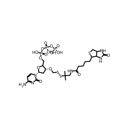 CC(C)(CNC(=O)CCCCC1SCC2NC(=O)NC21)SSCO[C@@H]1C[C@H](n2ccc(N)nc2=O)OC1COP(=O)(O)OP(=O)(O)OP(=O)(O)O